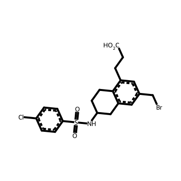 O=C(O)CCc1cc(CBr)cc2c1CCC(NS(=O)(=O)c1ccc(Cl)cc1)C2